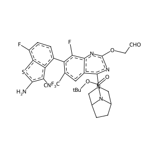 CC(C)(C)OC(=O)N1C2CCC1CN(c1nc(OCC=O)nc3c(F)c(-c4ccc(F)c5sc(N)c(C#N)c45)c(C(F)(F)F)cc13)C2